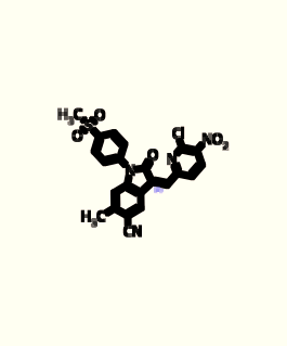 Cc1cc2c(cc1C#N)/C(=C/c1ccc([N+](=O)[O-])c(Cl)n1)C(=O)N2c1ccc(S(C)(=O)=O)cc1